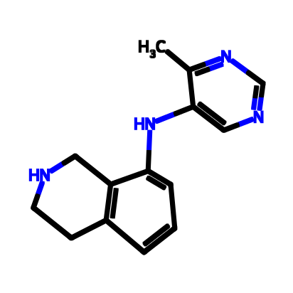 Cc1ncncc1Nc1cccc2c1CNCC2